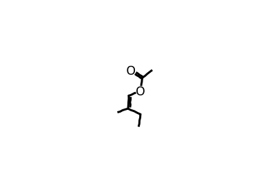 CC/C(C)=C\OC(C)=O